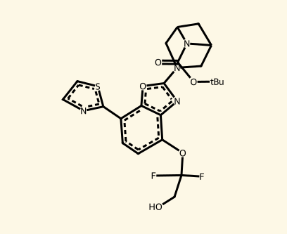 CC(C)(C)OC(=O)N1C2CC1CN(c1nc3c(OC(F)(F)CO)ccc(-c4nccs4)c3o1)C2